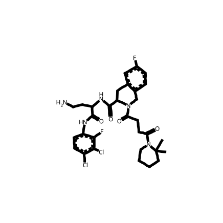 CC1(C)CCCCN1C(=O)CCC(=O)N1Cc2ccc(F)cc2CC1C(=O)NC(CCN)C(=O)Nc1ccc(Cl)c(Cl)c1F